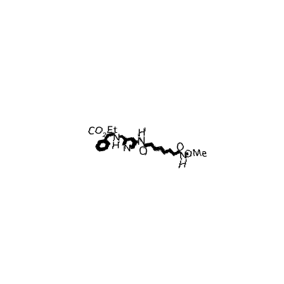 CCOC(=O)[C@H](Cc1ccccc1)NCc1cncc(NC(=O)CCCCCCC(=O)NOC)c1